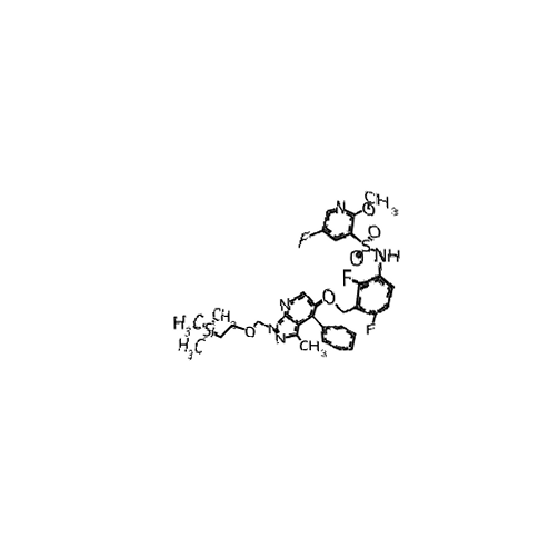 COc1ncc(F)cc1S(=O)(=O)Nc1ccc(F)c(COc2cnc3c(c(C)nn3COCC[Si](C)(C)C)c2-c2ccccc2)c1F